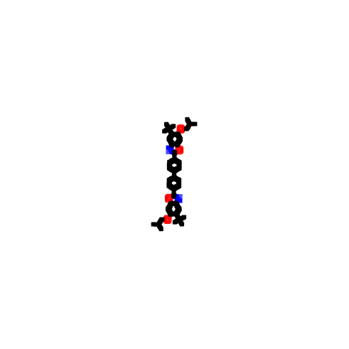 CC(C)COc1cc2oc(-c3ccc(-c4ccc(-c5nc6cc(C(C)(C)C)c(OCC(C)C)cc6o5)cc4)cc3)nc2cc1C(C)(C)C